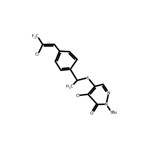 CC(Sc1cnn(C(C)(C)C)c(=O)c1Cl)c1ccc(/C=C(\Cl)C(F)(F)F)cc1